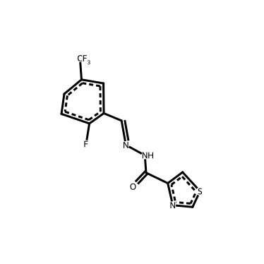 O=C(NN=Cc1cc(C(F)(F)F)ccc1F)c1cscn1